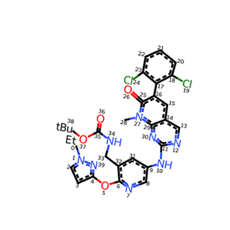 CCn1ccc(Oc2ncc(Nc3ncc4cc(-c5c(Cl)cccc5Cl)c(=O)n(C)c4n3)cc2CNC(=O)OC(C)(C)C)n1